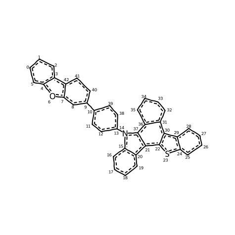 c1ccc2c(c1)oc1cc(-c3ccc(-n4c5ccccc5c5c6sc7ccccc7c6c6ccccc6c54)cc3)ccc12